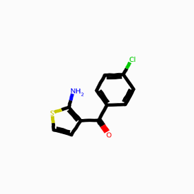 Nc1sccc1C(=O)c1ccc(Cl)cc1